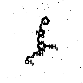 CCCCNc1cc(Cc2nc(CN3CCCC3)cs2)nc(N)n1